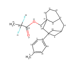 Cc1ccc(C23CC(CC4CCCC(COC(=O)C(C)(F)F)(C4)C2)C3)cc1